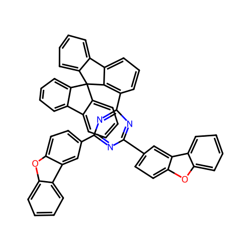 c1ccc2c(c1)-c1ccccc1C21c2ccccc2-c2cccc(-c3nc(-c4ccc5oc6ccccc6c5c4)nc(-c4ccc5oc6ccccc6c5c4)n3)c21